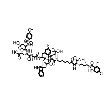 COc1ccc(S(=O)(=O)N[C@H](CC(=O)O)C(=O)N[C@@H](CCC(=O)O)C(=O)NCC(=O)N[C@@H](Cc2cccc(F)c2)C(=O)N[C@@H](Cc2c[nH]c3ccccc23)C(=O)N[C@@H](CCC(=O)O)C(=O)NCCCCCC(=O)N[C@@H](CCCCNC(=O)c2c(F)cc(Cl)cc2F)C(N)=O)cc1